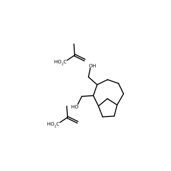 C=C(C)C(=O)O.C=C(C)C(=O)O.OCC1CCCC2CCC(C2)C1CO